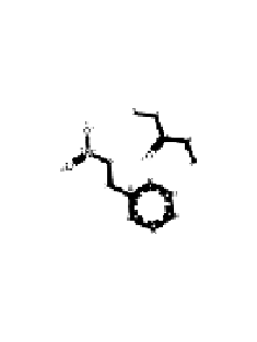 CCC(=O)CC.O=[N+]([O-])CCc1ccccc1